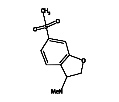 CNC1COc2cc(S(C)(=O)=O)ccc21